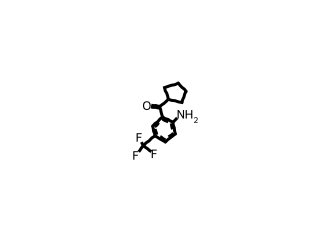 Nc1ccc(C(F)(F)F)cc1C(=O)C1CCCC1